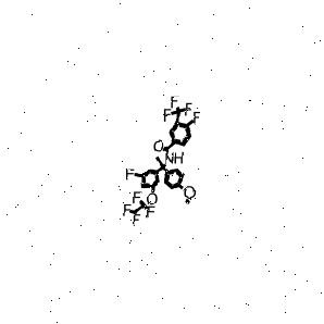 COc1ccc(C(C)(NC(=O)c2ccc(F)c(C(F)(F)F)c2)c2cc(F)cc(OC(F)(F)C(F)F)c2)cc1